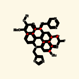 CCOc1cc(N(Cc2cncnc2)c2ccc(C(=O)OC(C)(C)C)cc2-c2c(C(=O)OC(C)(C)C)cccc2N(Cc2cnco2)c2ccc(OC(F)F)c(OC(C)C)c2)ccc1OC